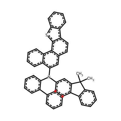 CC1(C)c2ccccc2-c2ccc(N(c3ccccc3-c3ccccc3)c3cc4ccc5c6ccccc6sc5c4c4ccccc34)cc21